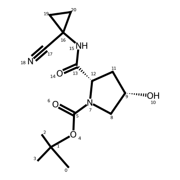 CC(C)(C)OC(=O)N1C[C@@H](O)C[C@H]1C(=O)NC1(C#N)CC1